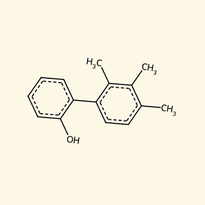 Cc1ccc(-c2ccccc2O)c(C)c1C